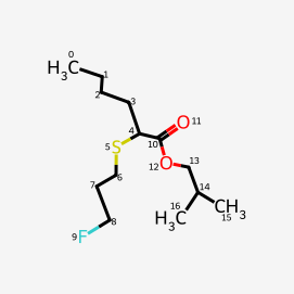 CCCCC(SCCCF)C(=O)OCC(C)C